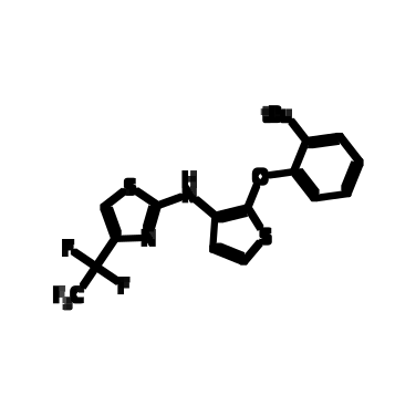 CC(C)(C)c1ccccc1Oc1sccc1Nc1nc(C(F)(F)C(F)(F)F)cs1